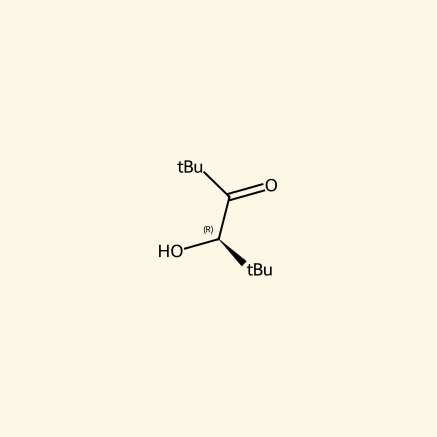 CC(C)(C)C(=O)[C@H](O)C(C)(C)C